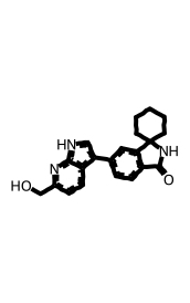 O=C1NC2(CCCCC2)c2cc(-c3c[nH]c4nc(CO)ccc34)ccc21